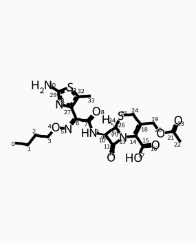 CCCCON=C(C(=O)N[C@@H]1C(=O)N2C(C(=O)O)=C(COC(C)=O)CS[C@H]12)c1nc(N)sc1C